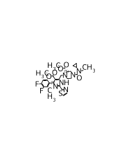 CCN(C(=O)N1CCN(CC2=C(C(=O)OC)[C@H](c3ccc(F)c(F)c3C)N=C(c3nccs3)N2)[C@H](C(=O)OC)C1)C1CC1